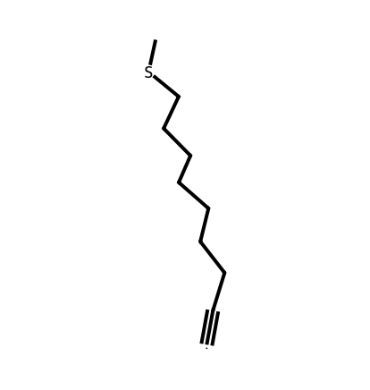 [C]#CCCCCCCCSC